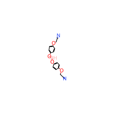 N#CCOc1ccc(OBOc2ccc(OCC#N)cc2)cc1